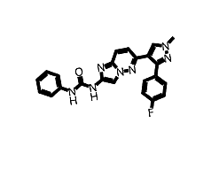 Cn1cc(-c2ccc3nc(NC(=O)Nc4ccccc4)cn3n2)c(-c2ccc(F)cc2)n1